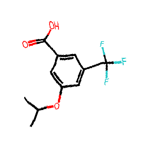 CC(C)Oc1cc(C(=O)O)cc(C(F)(F)F)c1